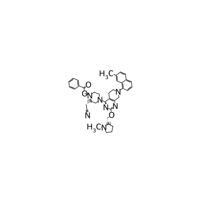 Cc1ccc2cccc(N3CCc4c(nc(OC[C@@H]5CCCN5C)nc4N4CCN(OC(=O)c5ccccc5)[C@@H](CC#N)C4)C3)c2c1